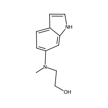 CN(CCO)c1ccc2cc[nH]c2c1